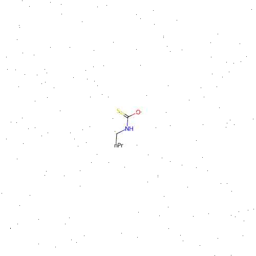 CCCCNC([O])=S